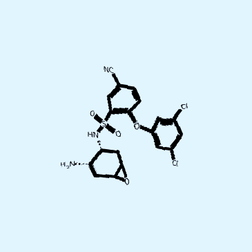 N#Cc1ccc(Oc2cc(Cl)cc(Cl)c2)c(S(=O)(=O)N[C@@H]2CC3OC3C[C@@H]2N)c1